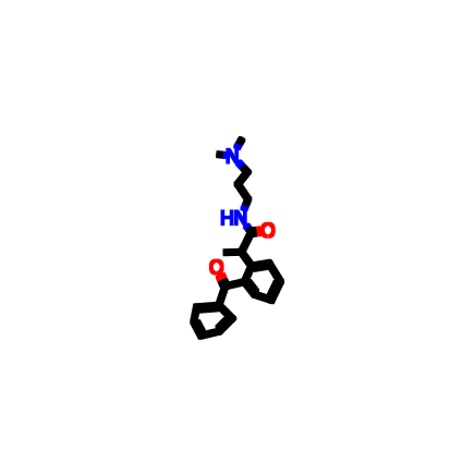 CC(C(=O)NCCCN(C)C)c1ccccc1C(=O)c1ccccc1